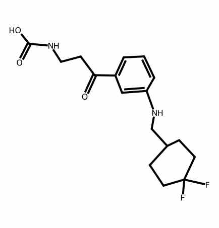 O=C(O)NCCC(=O)c1cccc(NCC2CCC(F)(F)CC2)c1